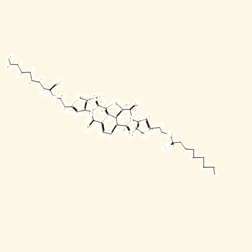 CCCCCCCCC(=O)OCCc1cc2c(nc3c4ccc5c(=O)n6c7cc(CCOC(=O)CCCCCCCC)sc7nc6c6sc(c(=O)n23)c4c56)s1